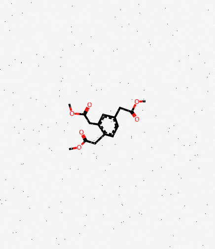 COC(=O)Cc1ccc(CC(=O)OC)c(CC(=O)OC)c1